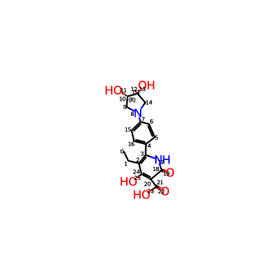 CCc1c(-c2ccc(N3C[C@@H](O)[C@@H](O)C3)cc2)[nH]c(=O)c(C(=O)O)c1O